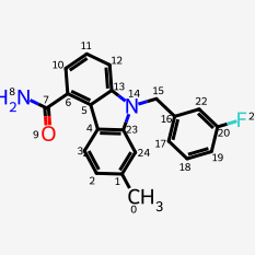 Cc1c[c]c2c3c(C(N)=O)cccc3n(Cc3cccc(F)c3)c2c1